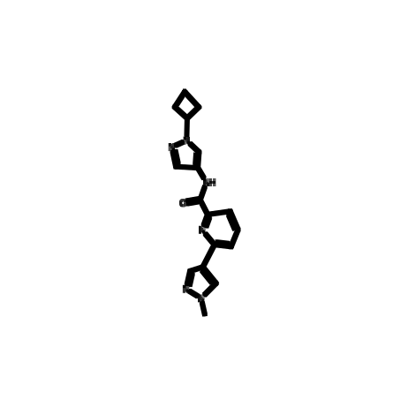 Cn1cc(-c2cccc(C(=O)Nc3cnn(C4CCC4)c3)n2)cn1